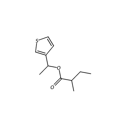 CCC(C)C(=O)OC(C)c1ccsc1